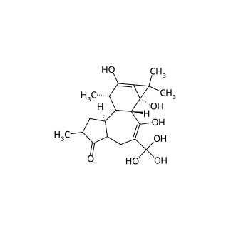 CC1C[C@@H]2C(CC(C(O)(O)O)=C(O)[C@@H]3C2[C@H](C)C(O)=C2C(C)(C)[C@]23O)C1=O